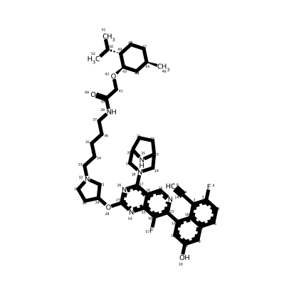 C#Cc1c(F)ccc2cc(O)cc(-c3ncc4c(N5CC6CCC(C5)N6)nc(OC5CCN(CCCCCNC(=O)CO[C@@H]6C[C@H](C)CC[C@H]6C(C)C)C5)nc4c3F)c12